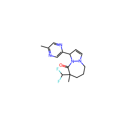 Cc1cnc(C2C=CN3CCCC(C)(C(F)F)C(=O)N23)cn1